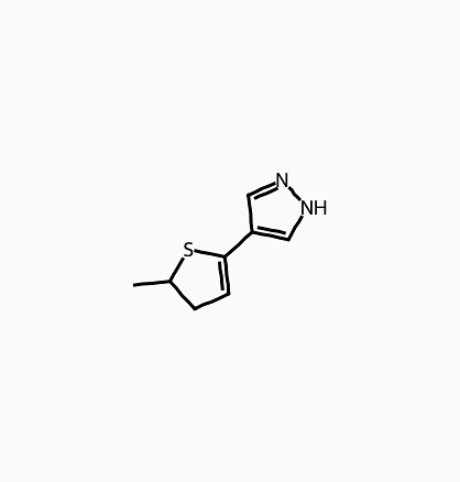 CC1CC=C(c2cn[nH]c2)S1